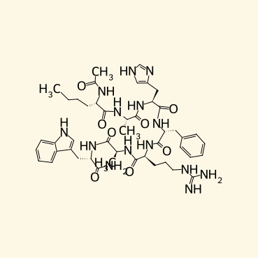 CCCC[C@H](NC(C)=O)C(=O)N[C@@H](C)C(=O)N[C@@H](Cc1c[nH]cn1)C(=O)N[C@H](Cc1ccccc1)C(=O)N[C@@H](CCCNC(=N)N)C(=O)N[C@@H](C)C(=O)N[C@@H](Cc1c[nH]c2ccccc12)C(N)=O